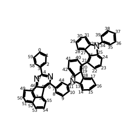 c1ccc(-c2nc(-c3cccc(-n4c5ccccc5c5c(-c6cccc7c6c6ccccc6n7-c6ccccc6)cccc54)c3)c3c(n2)-c2cccc4cccc-3c24)cc1